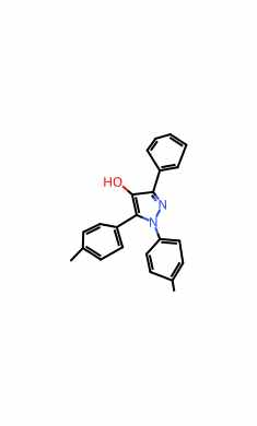 Cc1ccc(-c2c(O)c(-c3ccccc3)nn2-c2ccc(C)cc2)cc1